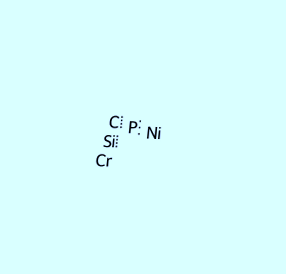 [C].[Cr].[Ni].[P].[Si]